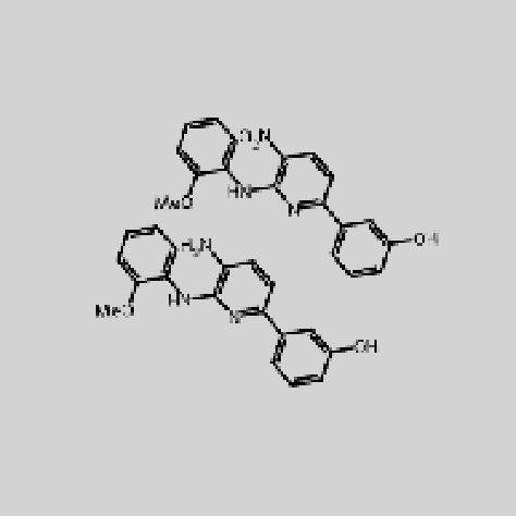 COc1ccccc1Nc1nc(-c2cccc(O)c2)ccc1N.COc1ccccc1Nc1nc(-c2cccc(O)c2)ccc1[N+](=O)[O-]